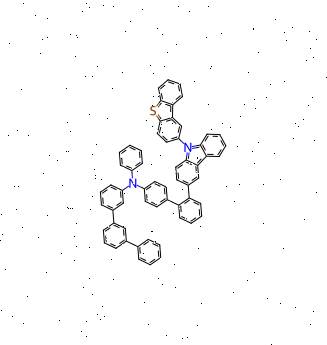 c1ccc(-c2cccc(-c3cccc(N(c4ccccc4)c4ccc(-c5ccccc5-c5ccc6c(c5)c5ccccc5n6-c5ccc6sc7ccccc7c6c5)cc4)c3)c2)cc1